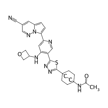 CC(=O)NC12CCC(c3nnc(-c4cnc(-c5ccc6cc(C#N)cnn56)cc4NC4COC4)s3)(CC1)CC2